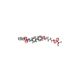 C=C(C)C(=O)OCCCCCCOc1ccc(-c2ccc(/C=C/C(=O)OC(C)(C)C)cc2)cc1